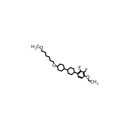 CCOc1ccc(C2CCC(C3CCC(OCCCCCCOC)CC3)CC2)c(F)c1F